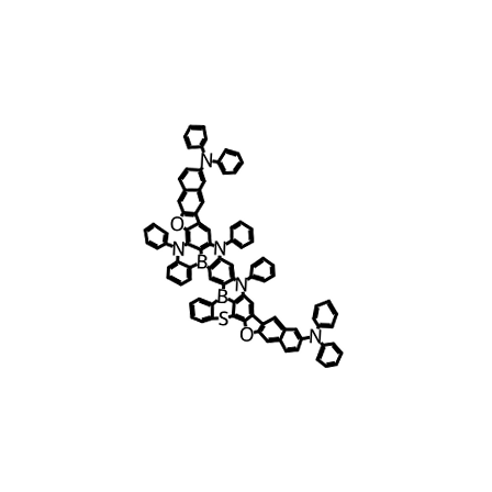 c1ccc(N(c2ccccc2)c2ccc3cc4oc5c6c7c(cc5c4cc3c2)N(c2ccccc2)c2cc3c(cc2B7c2ccccc2S6)B2c4ccccc4N(c4ccccc4)c4c2c(cc2c4oc4cc5ccc(N(c6ccccc6)c6ccccc6)cc5cc42)N3c2ccccc2)cc1